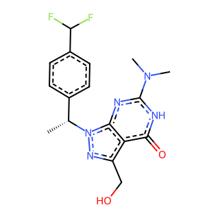 C[C@H](c1ccc(C(F)F)cc1)n1nc(CO)c2c(=O)[nH]c(N(C)C)nc21